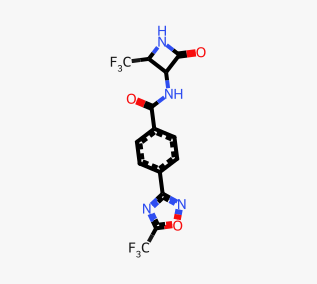 O=C(NC1C(=O)NC1C(F)(F)F)c1ccc(-c2noc(C(F)(F)F)n2)cc1